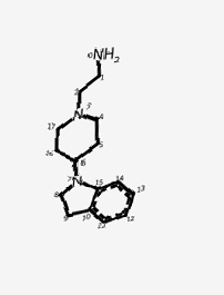 NCCN1CCC(N2CCc3ccccc32)CC1